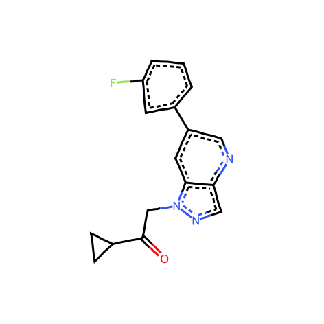 O=C(Cn1ncc2ncc(-c3cccc(F)c3)cc21)C1CC1